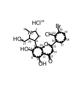 CN1CCC(c2c(O)cc(O)c3c(=O)cc(-c4cccc(Br)c4Cl)oc23)C1CO.Cl